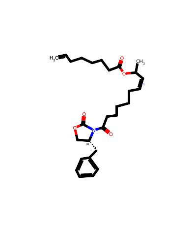 C=CCCCCCC(=O)OC(C)/C=C\CCCCCC(=O)N1C(=O)OC[C@H]1Cc1ccccc1